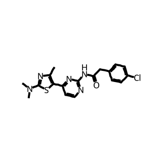 Cc1nc(N(C)C)sc1-c1ccnc(NC(=O)Cc2ccc(Cl)cc2)n1